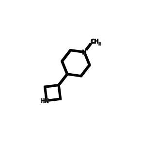 CN1CCC(C2CNC2)CC1